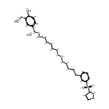 O=S(=O)(c1cccc(CCCCCOCCCCCCNC[C@H](O)c2ccc(O)c(CO)c2)c1)C1CCCC1